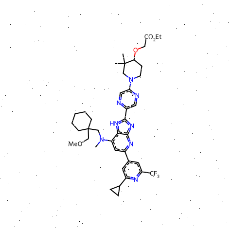 CCOC(=O)COC1CCN(c2cnc(-c3nc4nc(-c5cc(C6CC6)nc(C(F)(F)F)c5)cc(N(C)CC5(COC)CCCCC5)c4[nH]3)cn2)CC1(C)C